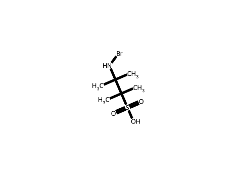 CC(C)(NBr)C(C)(C)S(=O)(=O)O